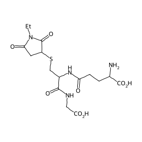 CCN1C(=O)CC(SCC(NC(=O)CCC(N)C(=O)O)C(=O)NCC(=O)O)C1=O